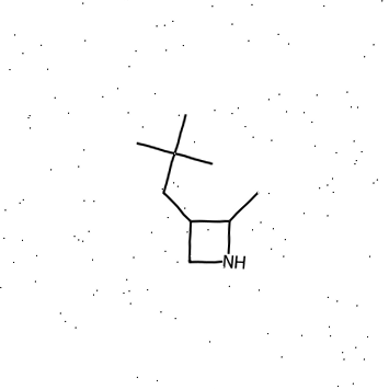 CC1NCC1CC(C)(C)C